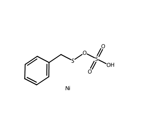 O=S(=O)(O)OSCc1ccccc1.[Ni]